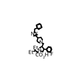 CCC(CC)[C@@H](C(=O)O)N1CC(CN2CCC(c3cnc(Cc4ccccc4)s3)CC2)C(c2cccc(F)c2)C1